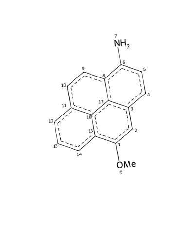 COc1cc2ccc(N)c3ccc4cccc1c4c23